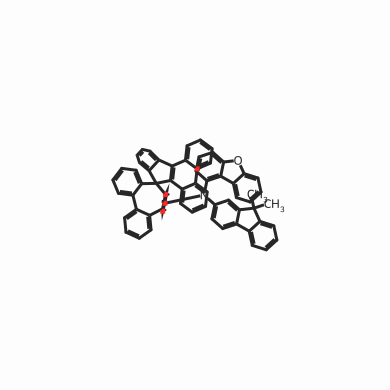 CC1(C)c2ccccc2-c2ccc(N(c3ccc4c(c3)C3(c5ccccc5-c5ccccc5-4)c4ccccc4-c4c3c3ccccc3c3ccccc43)c3cccc4oc5ccccc5c34)cc21